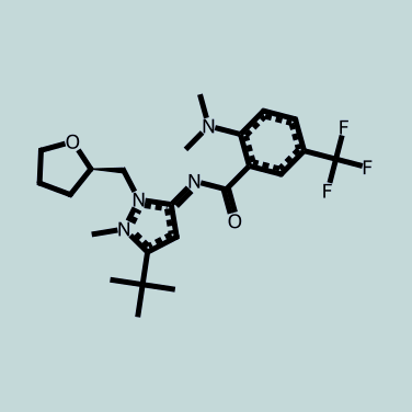 CN(C)c1ccc(C(F)(F)F)cc1C(=O)/N=c1\cc(C(C)(C)C)n(C)n1C[C@H]1CCCO1